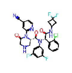 N#Cc1ccnc(N2C(=O)CNC[C@H]2C(=O)N(c2cc(F)cc(F)c2)[C@H](C(=O)NC2CC(F)(F)C2)c2ccccc2Cl)c1